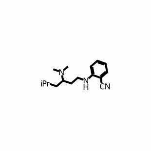 CC(C)CC(CCNc1ccccc1C#N)N(C)C